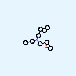 c1ccc(-c2ccc(N(c3ccc(-c4cccc5c4ccc4ccccc45)cc3)c3cccc(-c4cccc5c4oc4ccccc45)c3)cc2)cc1